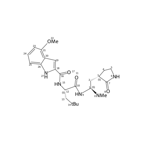 CN[C@H](C[C@@H]1CCNC1=O)NC(=O)[C@H](CC(C)(C)C)NC(=O)c1cc2c(OC)cccc2[nH]1